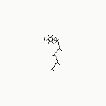 COc1c(C)c(C)c2c(c1C)CCC(C)(CCCC(C)CCCC(C)CCCC(C)CCCC(C)C)O2